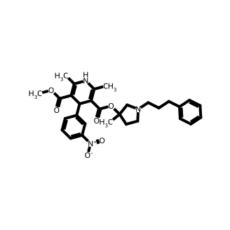 COC(=O)C1=C(C)NC(C)=C(C(=O)OC2(C)CCN(CCCc3ccccc3)C2)C1c1cccc([N+](=O)[O-])c1